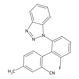 Cc1ccc(-c2c(F)cccc2-n2nnc3ccccc32)c(C#N)c1